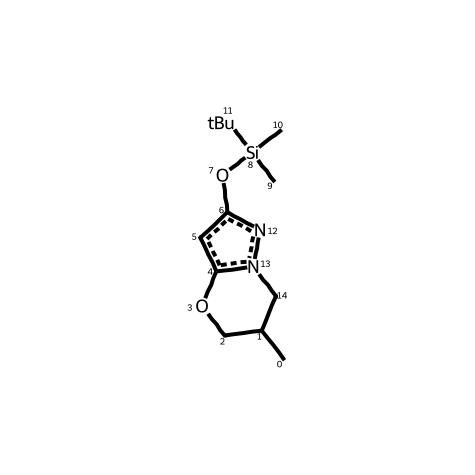 CC1COc2cc(O[Si](C)(C)C(C)(C)C)nn2C1